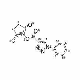 O=C(ON1C(=O)CCC1=O)c1cn(-c2ccccc2)nn1